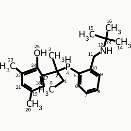 CCC(C)(Pc1ccccc1CNC(C)(C)C)c1cc(C)cc(C)c1O